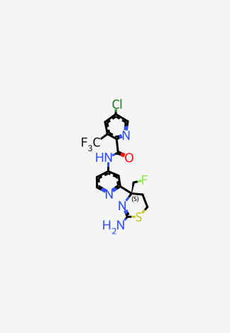 NC1=N[C@](CF)(c2cc(NC(=O)c3ncc(Cl)cc3C(F)(F)F)ccn2)CCS1